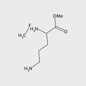 CF.COC(=O)C(N)CCCN